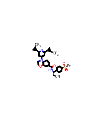 CCS(=O)(=O)c1ccc([C@H](CC#N)NC(=O)c2ccc3c(c2)OCCN3c2cc(C3CC3C(F)(F)F)nc(C3CC3C(F)(F)F)c2)cc1